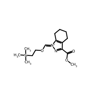 COC(=O)C1=N[N+](=COCC[Si](C)(C)C)C2=C1CCCC2